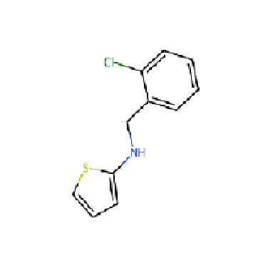 Clc1ccccc1[CH]Nc1cccs1